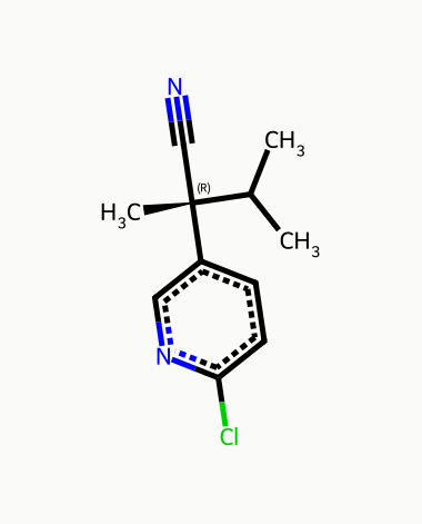 CC(C)[C@@](C)(C#N)c1ccc(Cl)nc1